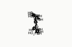 O=C(C=Cc1ccc(OC2OC(CO)C(O)C(O)C2OC2OCC(O)(CO)C2O)cc1)c1ccc(O)cc1OC1OC(C(=O)O)C(O)C(O)C1O